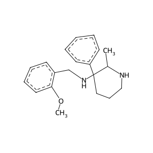 COc1ccccc1CNC1(c2ccccc2)CCCNC1C